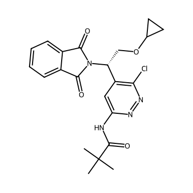 CC(C)(C)C(=O)Nc1cc([C@@H](COC2CC2)N2C(=O)c3ccccc3C2=O)c(Cl)nn1